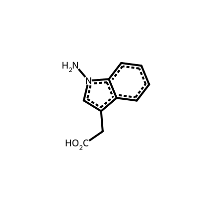 Nn1cc(CC(=O)O)c2ccccc21